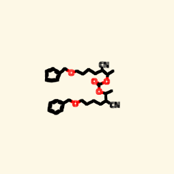 CC(OC(=O)OC(C)C(C#N)CCCCOCc1ccccc1)C(C#N)CCCCOCc1ccccc1